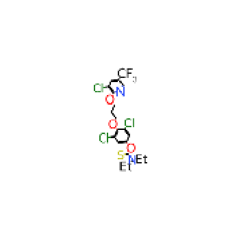 CCN(CC)C(=S)Oc1cc(Cl)c(OCCCOc2ncc(C(F)(F)F)cc2Cl)c(Cl)c1